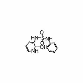 O=S(=O)(NC1=CC=CNC1O)Nc1ccccc1